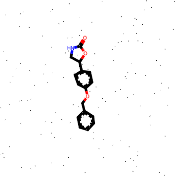 O=C1NCC(c2ccc(OCc3ccccc3)cc2)O1